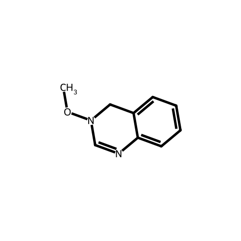 CON1C=Nc2ccccc2C1